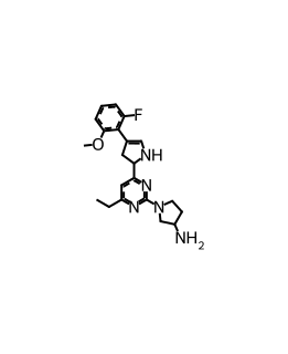 CCc1cc(C2CC(c3c(F)cccc3OC)=CN2)nc(N2CCC(N)C2)n1